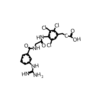 N=C(N)Nc1cccc(C(=O)NCC(=O)Nc2c(Cl)cc(CCC(=O)O)c(Cl)c2Cl)c1